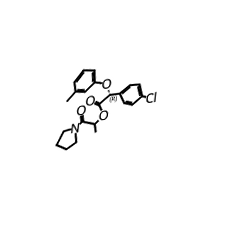 Cc1cccc(O[C@@H](C(=O)OC(C)C(=O)N2CCCC2)c2ccc(Cl)cc2)c1